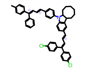 Cc1ccc(/C(=C/C=C/c2ccc(N3c4ccc(/C=C/C=C(c5ccc(Cl)cc5)c5ccc(Cl)cc5)cc4C4CCCCCCC43)cc2)c2ccccc2)cc1